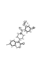 Cc1ccc2c(c1)COC(=O)N2C1CCN([S+]([O-])c2ccc(Br)cc2OC(F)(F)F)CC1